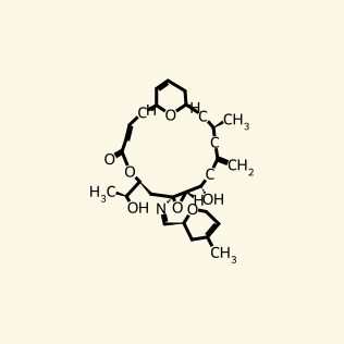 C=C1C[C@H](C)C[C@@H]2CC=C[C@@H](C/C=C\C(=O)O[C@H]([C@H](C)O)C[C@]3(/N=C\[C@@H]4CC(C)=CCO4)O[C@H]3[C@@H](O)C1)O2